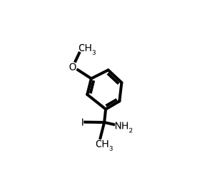 COc1cccc(C(C)(N)I)c1